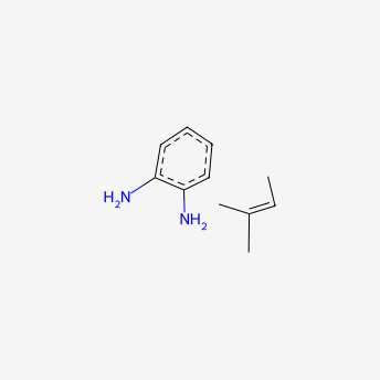 CC=C(C)C.Nc1ccccc1N